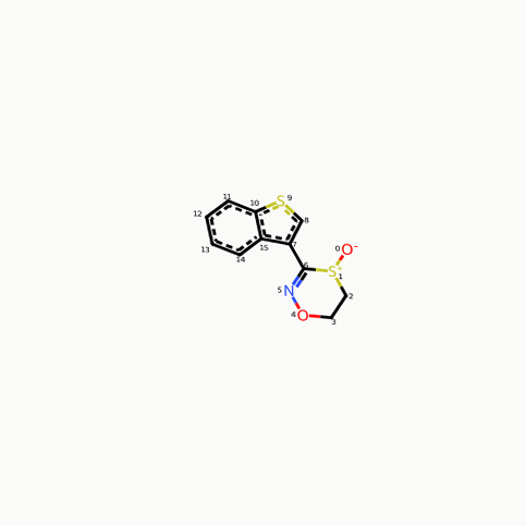 [O-][S+]1CCON=C1c1csc2ccccc12